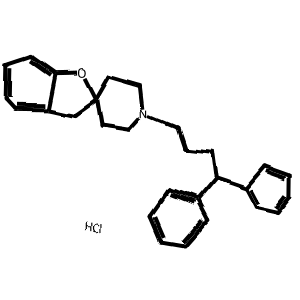 Cl.c1ccc(C(CCCN2CCC3(CC2)Cc2ccccc2O3)c2ccccc2)cc1